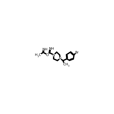 CC(=N)OC(=N)N1CCN(C(C)c2ccc(Br)cc2)CC1